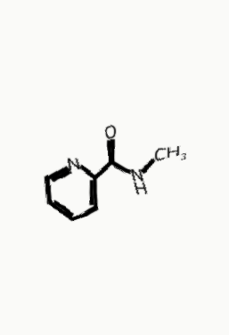 CNC(=O)c1ccccn1